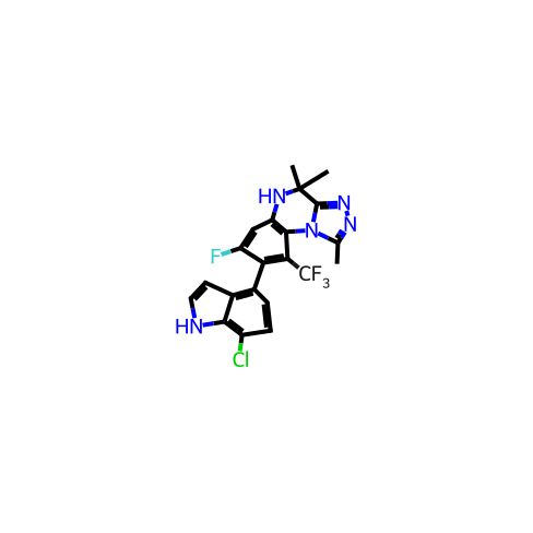 Cc1nnc2n1-c1c(cc(F)c(-c3ccc(Cl)c4[nH]ccc34)c1C(F)(F)F)NC2(C)C